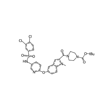 Cn1c(C(=O)N2CCN(C(=O)OC(C)(C)C)CC2)cc2cc(Oc3ccc(NS(=O)(=O)c4ccc(Cl)c(Cl)c4)cn3)ccc21